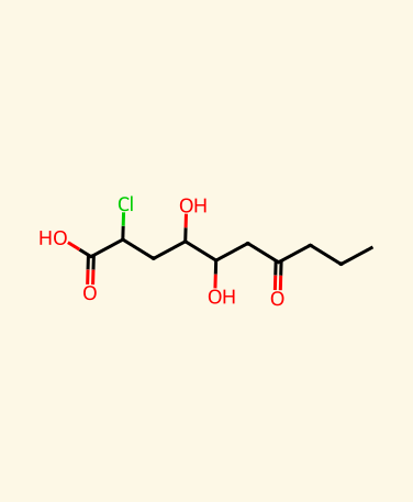 CCCC(=O)CC(O)C(O)CC(Cl)C(=O)O